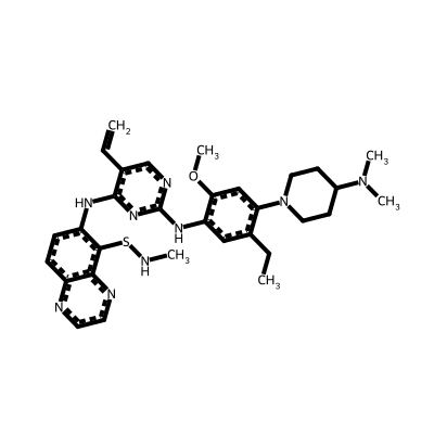 C=Cc1cnc(Nc2cc(CC)c(N3CCC(N(C)C)CC3)cc2OC)nc1Nc1ccc2nccnc2c1SNC